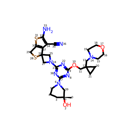 C[C@@]1(O)CCCN(c2nc(OCC3(CN4CCOCC4)CC3)nc(N3CC4(C3)SCc3sc(N)c(C#N)c34)n2)C1